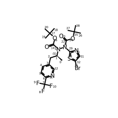 C[C@@H](Cc1ccc(C(F)(F)F)nc1)N(C(=O)OC(C)(C)C)N(C(=O)OC(C)(C)C)c1ncc(Br)s1